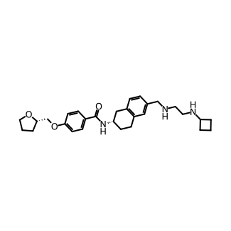 O=C(N[C@H]1CCc2cc(CNCCNC3CCC3)ccc2C1)c1ccc(OC[C@@H]2CCCO2)cc1